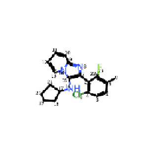 Cc1ccc(Cl)c(-c2nc3ccccn3c2NC2CCCC2)c1F